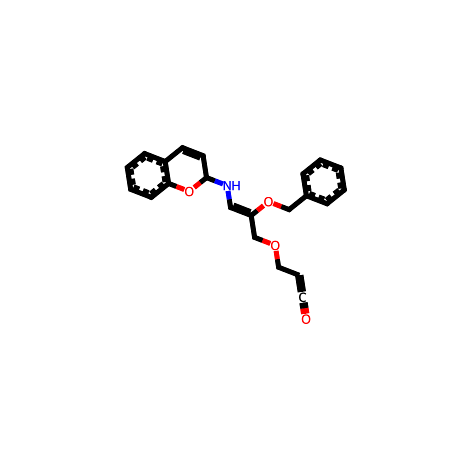 O=C=CCOCC(=CNC1C=Cc2ccccc2O1)OCc1ccccc1